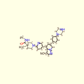 CC(C)NC(=O)C1(C)CCN(c2ccc(-c3cc(-c4ccc(N5CCNCC5)cc4)cn4ncc(C#N)c34)cn2)CC1